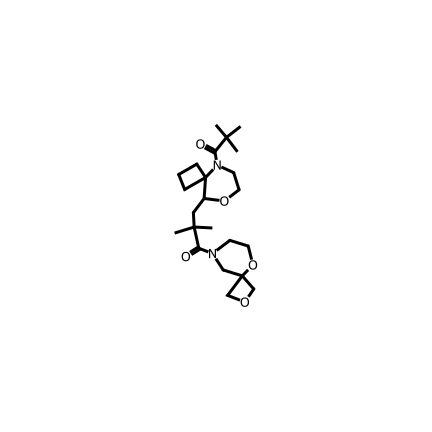 CC(C)(C)C(=O)N1CCOC(CC(C)(C)C(=O)N2CCOC3(COC3)C2)C12CCC2